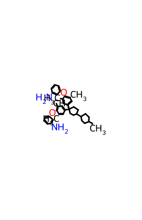 CCC1CCC(C2CCC(c3cc(C)c(Oc4cccc(N)c4)c(C)c3)(c3cc(C)c(Oc4cccc(N)c4)c(C)c3)CC2)CC1